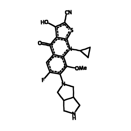 COc1c(N2CC3CNCC3C2)c(F)cc2c(=O)c3c(O)c(C#N)sc3n(C3CC3)c12